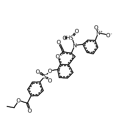 CCOC(=O)c1ccc(S(=O)(=O)Oc2cccc3cc(N(c4cccc([N+](=O)[O-])c4)[SH](=O)=O)c(=O)oc23)cc1